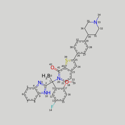 BC(c1nc2ccccc2[nH]1)(c1cc(F)ccc1OC)n1ccc2cc(-c3ccc(C4CCN(C)CC4)cc3)sc2c1=O